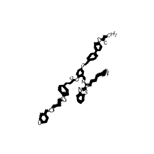 C=CC(=O)Oc1ccc(-c2ccc(COc3ccc(OC(=O)CCc4ccc(OCCCOCC5CCC6OC6C5)cc4)c(/C=N/N(CCCCC#N)c4nc5ccccc5s4)c3)cc2)cc1